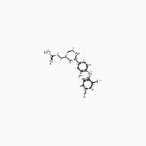 O=C(O)CCN1CCOC(c2ccc(Oc3c(F)cc(F)cc3F)cc2)C1